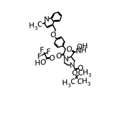 Cc1cc(COc2ccc(CC(=O)N3CCN(C(=O)OC(C)(C)C)CC3C(=O)NO)cc2)c2ccccc2n1.O=C(O)C(F)(F)F